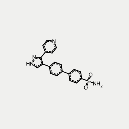 NS(=O)(=O)c1ccc(-c2ccc(-c3c[nH]nc3-c3ccncc3)cc2)cc1